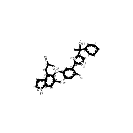 CC(O)(c1ccccc1)c1c[nH]c(-c2cc(Oc3c(F)cc4[nH]ccc4c3CC(F)F)ccc2F)n1